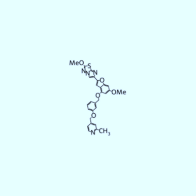 COc1cc(OCc2cccc(OCc3ccnc(C)c3)c2)c2cc(-c3cn4nc(OC)sc4n3)oc2c1